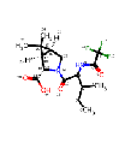 CCC(C)C(NC(=O)C(F)(F)F)C(=O)N1C[C@H]2[C@@H]([C@H]1C(=O)O)C2(C)C